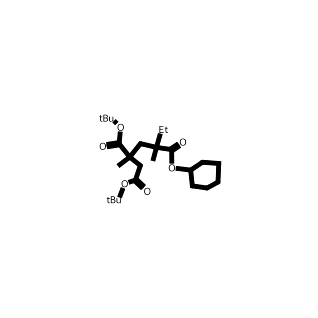 CCC(C)(CC(C)(CC(=O)OC(C)(C)C)C(=O)OC(C)(C)C)C(=O)OC1CCCCC1